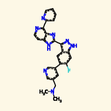 CN(C)Cc1cncc(-c2cc3c(-c4nc5c(-c6ccccn6)nccc5[nH]4)n[nH]c3cc2F)c1